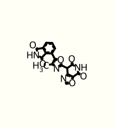 Cc1nc(C2C(=O)NC(=O)c3ocnc32)oc1-c1cccc2c1C(=O)NC2=O